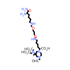 CC1(N(CC(=O)O)CC(=O)O)CN(CC=O)CCN([C@H](CCCCNOCCCOCNCCCC[C@H](N)C(N)=O)C(=O)O)C1